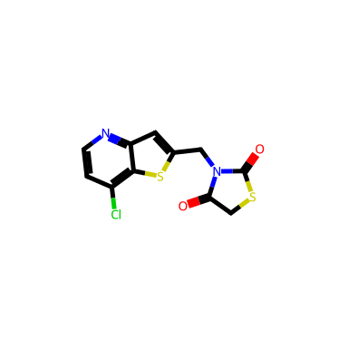 O=C1CSC(=O)N1Cc1cc2nccc(Cl)c2s1